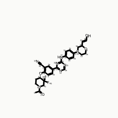 CC(=O)N1CC[C@H](Oc2ccc(-c3ncnc(Nc4ccc(N5CCOC(/C=C/O)C5)cc4)n3)cc2C#N)C(F)(F)C1